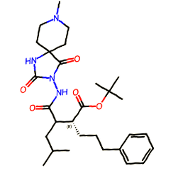 CC(C)CC(C(=O)NN1C(=O)NC2(CCN(C)CC2)C1=O)[C@@H](CCCc1ccccc1)C(=O)OC(C)(C)C